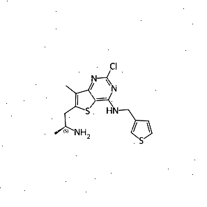 Cc1c(C[C@H](C)N)sc2c(NCc3ccsc3)nc(Cl)nc12